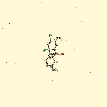 COC1(F)C=C(F)C(C)=CC1C(=O)c1cccc([N+](=O)[O-])c1